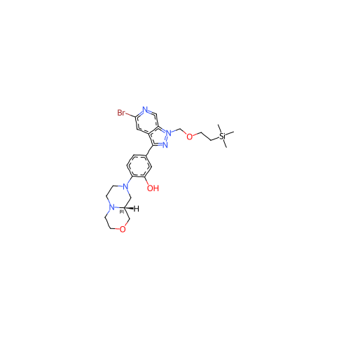 C[Si](C)(C)CCOCn1nc(-c2ccc(N3CCN4CCOC[C@H]4C3)c(O)c2)c2cc(Br)ncc21